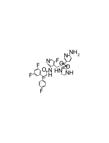 Nc1ccc(S(=O)(=O)[C@@]2(CCc3c(F)cncc3NC(=O)C[C@@H](c3ccc(F)cc3)c3cc(F)cc(F)c3)CNCCN2)cn1